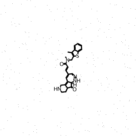 Cc1c(CN(C)C(=O)/C=C/C2=CC3=C4CNCCC4C(=O)[C@H]3NN=C2)sc2ccccc12